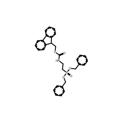 O=C(NCCP(=O)(OCc1ccccc1)OCc1ccccc1)OCC1c2ccccc2-c2ccccc21